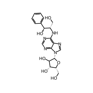 OC[C@H](Nc1ncnc2c1ncn2[C@@H]1O[C@H](CO)[C@H](O)C1O)[C@@H](O)c1ccccc1